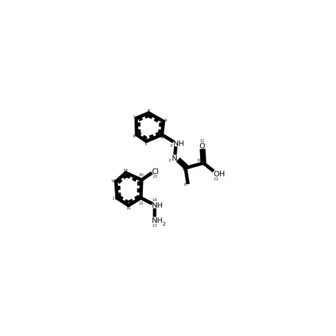 CC(=NNc1ccccc1)C(=O)O.NNc1ccccc1Cl